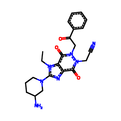 CCn1c(N2CCCC(N)C2)nc2c(=O)n(CC#N)n(CC(=O)c3ccccc3)c(=O)c21